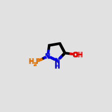 OC1CCN(P)N1